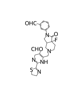 O=CC1=C(CN2CCC3(F)C(=O)N(c4cccc(C=O)c4)CC3C2)NC(C2=NCCS2)=NC1